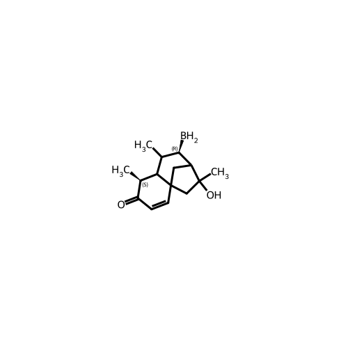 B[C@@H]1C(C)C2[C@H](C)C(=O)C=CC23CC1C(C)(O)C3